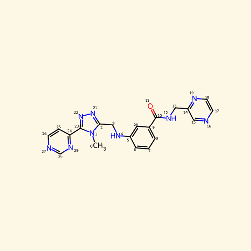 Cn1c(CNc2cccc(C(=O)NCc3cnccn3)c2)nnc1-c1ccncn1